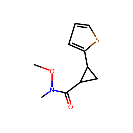 CON(C)C(=O)C1CC1c1cccs1